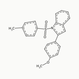 COc1ccc(-c2cc3ccccc3n2S(=O)(=O)c2ccc(C)cc2)cc1